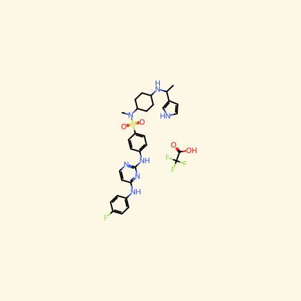 CC(NC1CCC(N(C)S(=O)(=O)c2ccc(Nc3nccc(Nc4ccc(F)cc4)n3)cc2)CC1)c1cc[nH]c1.O=C(O)C(F)(F)F